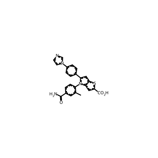 Cc1cc(C(N)=O)ccc1-n1c(-c2ccc(-n3ccnc3)cc2)cc2sc(C(=O)O)cc21